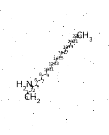 C=CCC(N)CCCCCCCCCCCCCCCCCCC